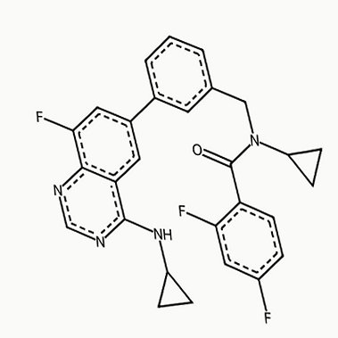 O=C(c1ccc(F)cc1F)N(Cc1cccc(-c2cc(F)c3ncnc(NC4CC4)c3c2)c1)C1CC1